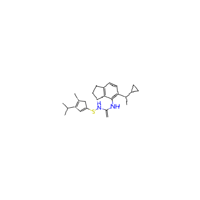 C=C(NSC1=CC(C(C)C)=C(C)C1)Nc1c(C(C)C2CC2)ccc2c1CCC2